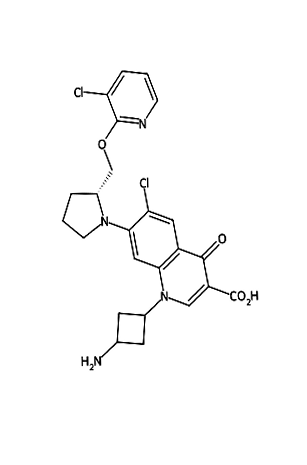 NC1CC(n2cc(C(=O)O)c(=O)c3cc(Cl)c(N4CCC[C@@H]4COc4ncccc4Cl)cc32)C1